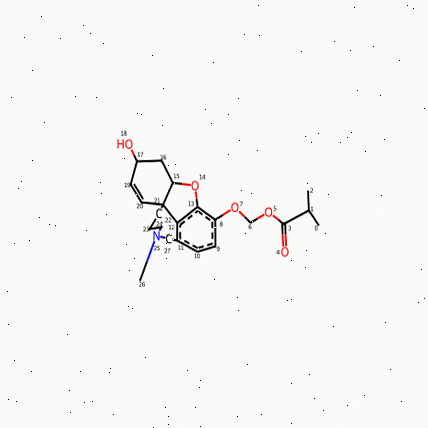 CC(C)C(=O)OCOc1ccc2c3c1OC1CC(O)C=CC31CCCN(C)C2